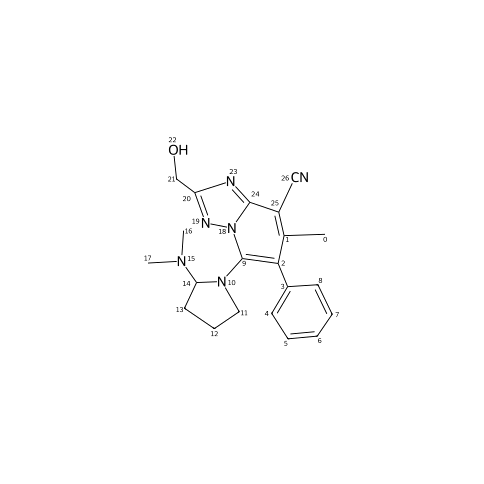 Cc1c(-c2ccccc2)c(N2CCCC2N(C)C)n2nc(CO)nc2c1C#N